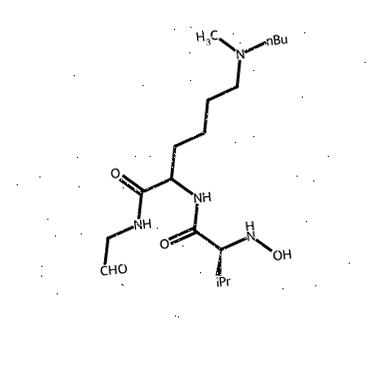 CCCCN(C)CCCCC(NC(=O)[C@@H](NO)C(C)C)C(=O)NCC=O